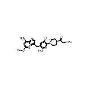 CCCCOc1nc(N)c2ncc(Cc3cnc(N4CCN(C(=O)CNC)CC4)c(C)c3)n2n1.Cl